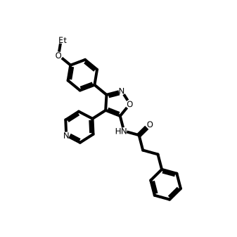 CCOc1ccc(-c2noc(NC(=O)CCc3ccccc3)c2-c2ccncc2)cc1